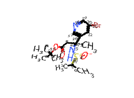 CC(C)[S@@+]([O-])N[C@@](C)(CC(=O)OC(C)(C)C)c1cncc(Br)c1